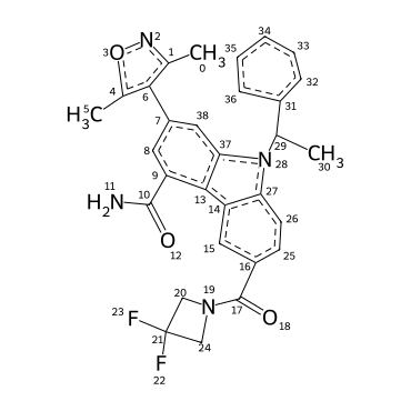 Cc1noc(C)c1-c1cc(C(N)=O)c2c3cc(C(=O)N4CC(F)(F)C4)ccc3n(C(C)c3ccccc3)c2c1